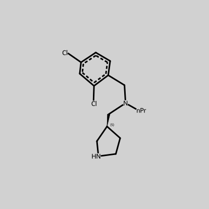 CCCN(Cc1ccc(Cl)cc1Cl)C[C@H]1CCNC1